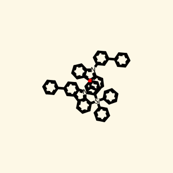 c1ccc(-c2cccc(-n3c4ccccc4c4c(-n5c6ccc(-c7ccccc7)cc6c6cccc([Si](c7ccccc7)(c7ccccc7)c7ccccc7)c65)cccc43)c2)cc1